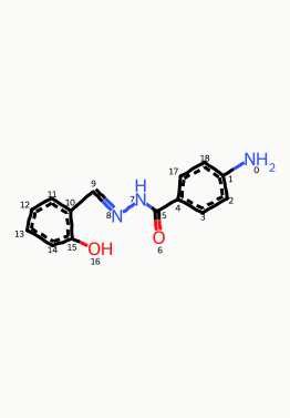 Nc1ccc(C(=O)NN=Cc2ccccc2O)cc1